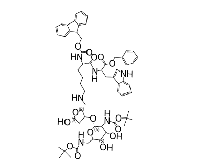 CC(C)(C)OC(=O)NCC1O[C@H](OC2C[C@H](O)O[C@@H]2CNCCCCC(NC(=O)OCC2c3ccccc3-c3ccccc32)C(=O)NC(Cc2c[nH]c3ccccc23)C(=O)OCc2ccccc2)C(NC(=O)OC(C)(C)C)C(O)[C@@H]1O